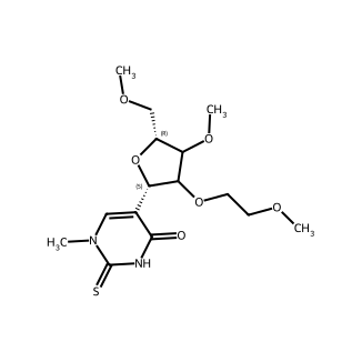 COCCOC1C(OC)[C@@H](COC)O[C@H]1c1cn(C)c(=S)[nH]c1=O